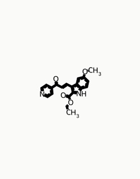 CCOC(=O)c1[nH]c2ccc(OC)cc2c1/C=C/C(=O)c1ccncc1